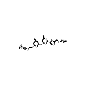 C=CPOCc1nc([C@H]2OC(=C)C[C@@H](C[C@H]3CC(=C)C[C@H](CCOB=[PH]=S)O3)O2)co1